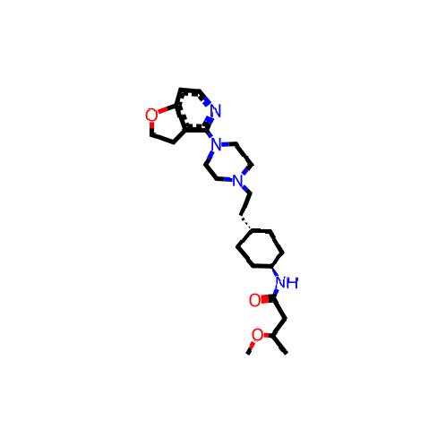 COC(C)CC(=O)N[C@H]1CC[C@H](CCN2CCN(c3nccc4c3CCO4)CC2)CC1